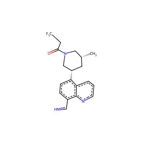 C[C@@H]1C[C@H](c2ccc(C=N)c3ncccc23)CN(C(=O)CC(F)(F)F)C1